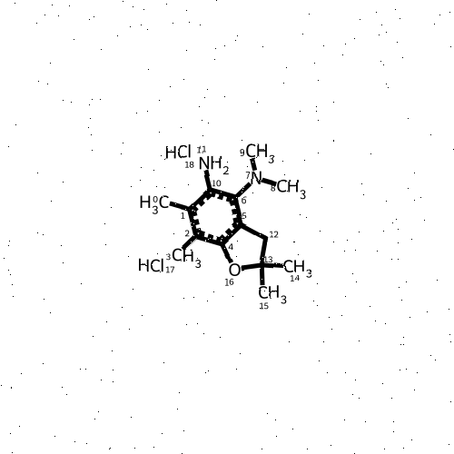 Cc1c(C)c2c(c(N(C)C)c1N)CC(C)(C)O2.Cl.Cl